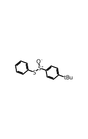 CC(C)(C)c1ccc([S+]([O-])Sc2ccccc2)cc1